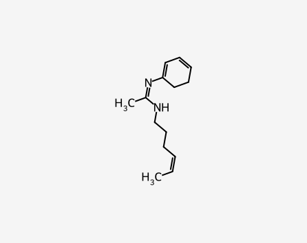 C/C=C\CCCN/C(C)=N\C1=CC=CCC1